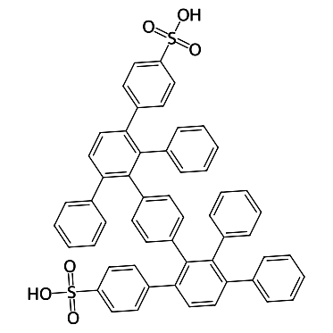 O=S(=O)(O)c1ccc(-c2ccc(-c3ccccc3)c(-c3ccc(-c4c(-c5ccc(S(=O)(=O)O)cc5)ccc(-c5ccccc5)c4-c4ccccc4)cc3)c2-c2ccccc2)cc1